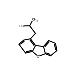 CC(O)Cc1cccc2oc3ccccc3c12